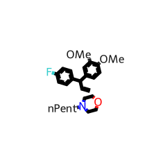 C=CC(c1ccc(F)cc1)c1ccc(OC)c(OC)c1.CCCCCN1CCOCC1